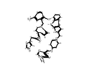 O=[N+]([O-])c1ccc(Cl)c(CN2CCC(OCc3c[nH]cn3)CC2)c1.c1ccc2c(c1)sc1sc(CN3CCC(OCc4c[nH]cn4)CC3)cc12